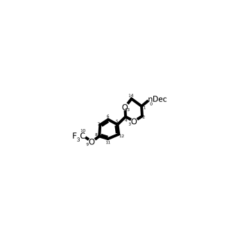 CCCCCCCCCCC1COC(c2ccc(OC(F)(F)F)cc2)OC1